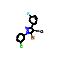 O=Cc1c(-c2cccc(F)c2)nn(-c2cccc(Cl)c2)c1Br